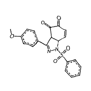 COc1ccc(C2=NN(S(=O)(=O)c3ccccc3)C3C=CC(=O)C(=O)C23)cc1